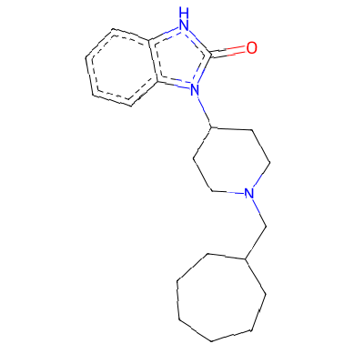 O=c1[nH]c2ccccc2n1C1CCN(CC2CCCCCC2)CC1